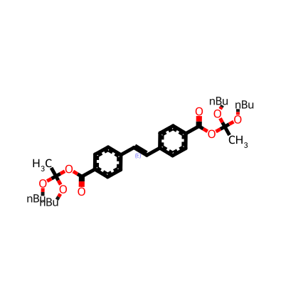 CCCCOC(C)(OCCCC)OC(=O)c1ccc(/C=C/c2ccc(C(=O)OC(C)(OCCCC)OCCCC)cc2)cc1